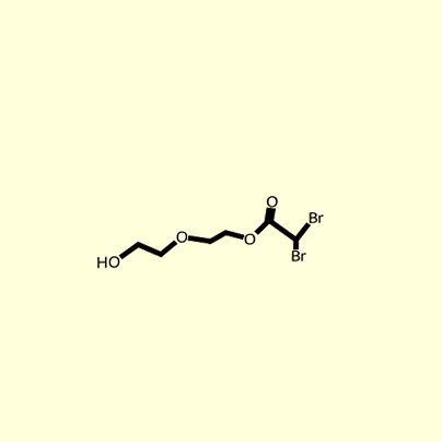 O=C(OCCOCCO)C(Br)Br